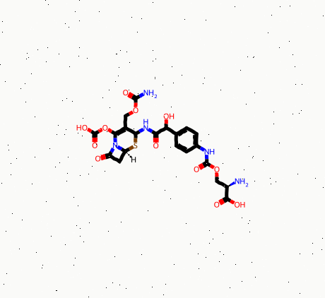 NC(=O)OCC1=C(OC(=O)O)N2C(=O)C[C@@H]2SC1NC(=O)C(O)c1ccc(NC(=O)OC[C@@H](N)C(=O)O)cc1